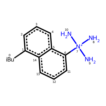 CCC(C)c1cccc2c([N+](N)(N)N)cccc12